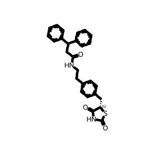 O=C(CC(c1ccccc1)c1ccccc1)NCCc1ccc(C[C@@H]2SC(=O)NC2=O)cc1